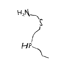 CPSN